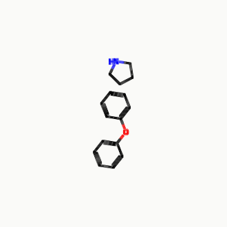 C1CCNC1.c1ccc(Oc2ccccc2)cc1